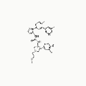 COCCN1C[C@@H](NC(=O)Nc2ccnn2C2C=C(c3cncc(C)c3)C(C)=CC2)[C@H](c2ccc(F)c(F)c2)C1